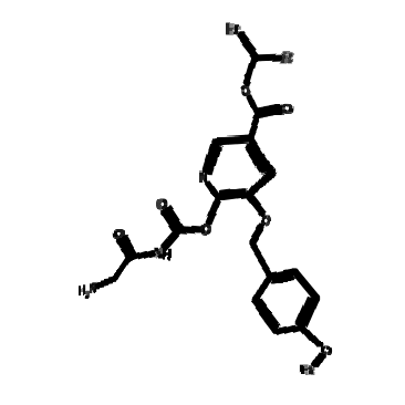 CCOc1ccc(COc2cc(C(=O)OC(CC)CC)cnc2OC(=O)NC(=O)CN)cc1